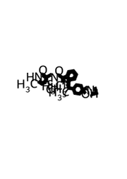 CSc1cc(C)[nH]c(=O)c1CNC(=O)c1c(C)n([C@H](C)C2CCC(O)(CN3CCC3)CC2)c2ccccc12